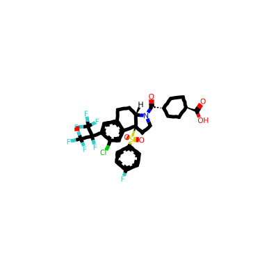 O=C(O)[C@H]1CC[C@H](C(=O)N2CC[C@]3(S(=O)(=O)c4ccc(F)cc4)c4cc(Cl)c(C(F)(C(F)(F)F)C(F)(F)F)cc4CC[C@H]23)CC1